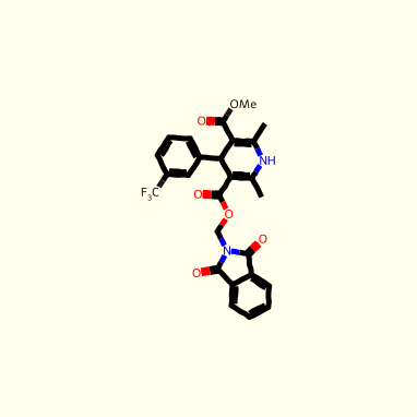 COC(=O)C1=C(C)NC(C)=C(C(=O)OCN2C(=O)c3ccccc3C2=O)C1c1cccc(C(F)(F)F)c1